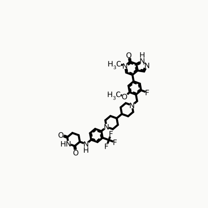 COc1cc(-c2cn(C)c(=O)c3[nH]ncc23)cc(F)c1CN1CCC(C2CCN(c3ccc(NC4CCC(=O)NC4=O)cc3C(F)(F)F)CC2)CC1